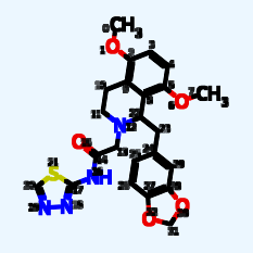 COc1ccc(OC)c2c1CCN(CC(=O)Nc1nncs1)C2Cc1ccc2c(c1)OCO2